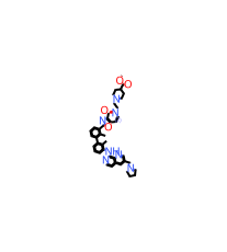 COC(=O)C1CCN(CCN(C)/C=C\c2oc(-c3cccc(-c4cccc(Nc5nccc6cc(CN7CCCC7)cnc56)c4C)c3C)nc2C=O)CC1